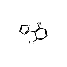 Cc1cccc(C)c1-c1ncc[nH]1